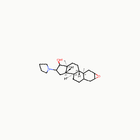 C[C@]12CC3OC3CC1CC[C@@H]1[C@@H]2CC[C@]2(C)C(O)C(N3CCCC3)C[C@@H]12